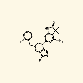 CC1(C)C(=O)Nc2nc(N3CC(Cc4ccccc4F)=Cn4c3cnc4F)nc(N)c21